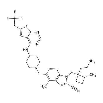 Cc1c(CN2CCC(Nc3ncnc4sc(CC(F)(F)F)cc34)CC2)ccc2c1cc(C#N)n2CC1(CCN)CC[C@H]1C